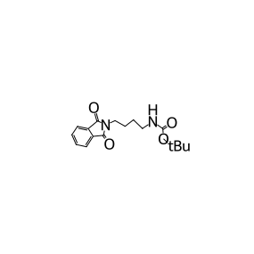 CC(C)(C)OC(=O)NCCCCN1C(=O)c2ccccc2C1=O